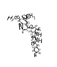 COc1cc2nccc(Oc3ccc(NC(=S)NC(=O)Cc4ccc(F)cc4)c(F)c3)c2cc1OC